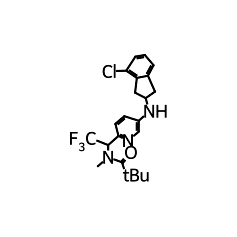 CN(C(=O)C(C)(C)C)C(c1ccc(NC2Cc3cccc(Cl)c3C2)cn1)C(F)(F)F